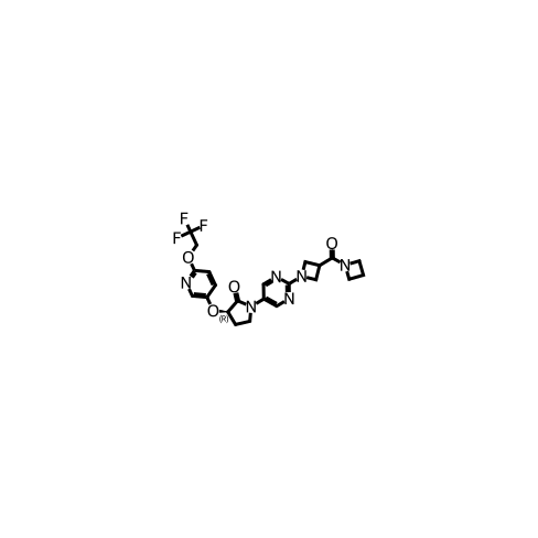 O=C(C1CN(c2ncc(N3CC[C@@H](Oc4ccc(OCC(F)(F)F)nc4)C3=O)cn2)C1)N1CCC1